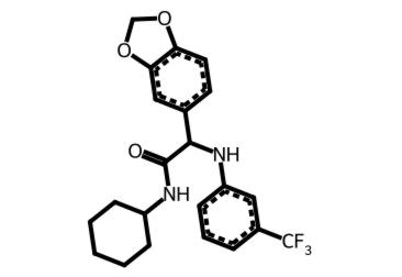 O=C(NC1CCCCC1)C(Nc1cccc(C(F)(F)F)c1)c1ccc2c(c1)OCO2